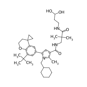 Cc1c(C(=O)NCC(C)(C)C(=O)NCCC(O)O)cc(-c2cc(C(C)(C)C)c3c(c2)C2(CCO3)CC2)n1CC1CCCCC1